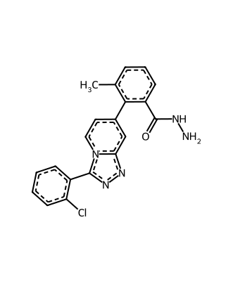 Cc1cccc(C(=O)NN)c1-c1ccn2c(-c3ccccc3Cl)nnc2c1